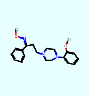 CCO/N=C(/CCN1CCN(c2ccccc2OCC)CC1)c1ccccc1